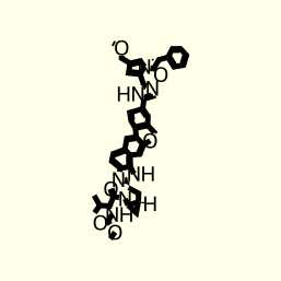 COCc1cc(-c2ncc(-c3ccc4c(c3)COc3cc5c(ccc6nc([C@@H]7C[C@H]8CC8N7C(=O)[C@@H](NC(=O)OC)C(C)C)[nH]c65)cc3-4)[nH]2)n(C(=O)[CH]c2ccccc2)c1